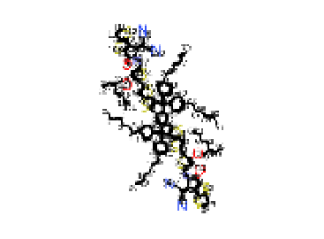 CCCCCCc1ccc(C2(c3ccc(CCCCCC)cc3)c3cc4c(cc3-c3sc5cc(-c6sc(/C=C7\C(=O)c8sc9ccsc9c8C7=C(C#N)C#N)cc6OCC(CC)CCCC)sc5c32)C(c2ccc(CCCCCC)cc2)(c2ccc(CCCCCC)cc2)c2c-4sc3cc(-c4sc(/C=C5\C(=O)c6sc7ccsc7c6C5=C(C#N)C#N)cc4OCC(CC)CCCC)sc23)cc1